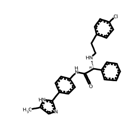 Cc1cnc(-c2ccc(NC(=O)[C@H](NCCc3ccc(Cl)cc3)c3ccccc3)cc2)[nH]1